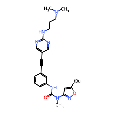 CN(C)CCCNc1ncc(C#Cc2cccc(NC(=O)N(C)c3cc(C(C)(C)C)on3)c2)cn1